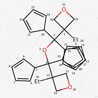 CCC1(C(OC(C2C=CC=C2)(C2C=CC=C2)C2(CC)COC2)(C2C=CC=C2)C2C=CC=C2)COC1